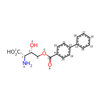 N[C@H](C(=O)O)[C@H](O)COC(=O)c1ccc(-c2ccccc2)cc1